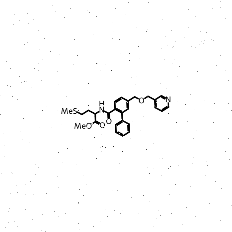 COC(=O)C(CCSC)NC(=O)c1ccc(COCc2cccnc2)cc1-c1ccccc1